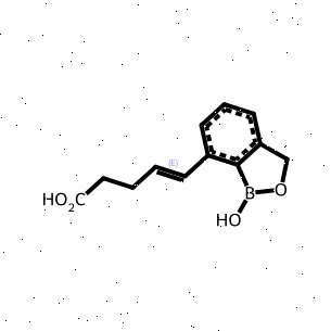 O=C(O)CC/C=C/c1cccc2c1B(O)OC2